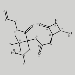 C=CCOC(=O)C(CC(C)O)(OC(=O)C[C@H]1C(=O)N[C@@H]1S)[Si](C)(C)C